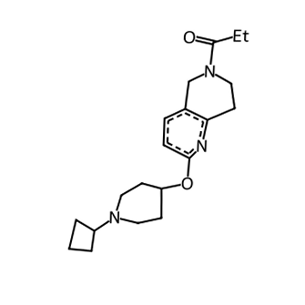 CCC(=O)N1CCc2nc(OC3CCN(C4CCC4)CC3)ccc2C1